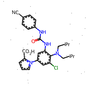 CC(C)CN(CC(C)C)c1c(Cl)cc(-n2cccc2C(=O)O)cc1NC(=O)Nc1ccc(C#N)cc1